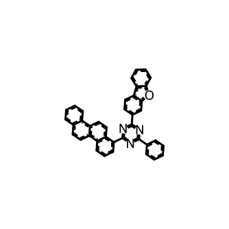 c1ccc(-c2nc(-c3ccc4c(c3)oc3ccccc34)nc(-c3cccc4c3ccc3c5ccccc5ccc43)n2)cc1